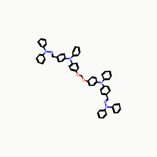 C(=NN(c1ccccc1)c1ccccc1)c1ccc(N(c2ccccc2)c2ccc(OCOc3ccc(N(c4ccccc4)c4ccc(C=NN(c5ccccc5)c5ccccc5)cc4)cc3)cc2)cc1